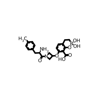 Cc1ccc(C[C@@H](N)C(=O)N2CC(Oc3ccc4c(c3C(=O)O)O[B-](O)(O)CC4)C2)cc1